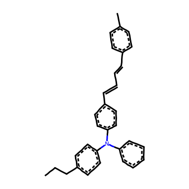 CCCc1ccc(N(c2ccccc2)c2ccc(/C=C/C=C/c3ccc(C)cc3)cc2)cc1